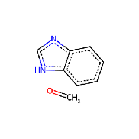 C=O.c1ccc2[nH]cnc2c1